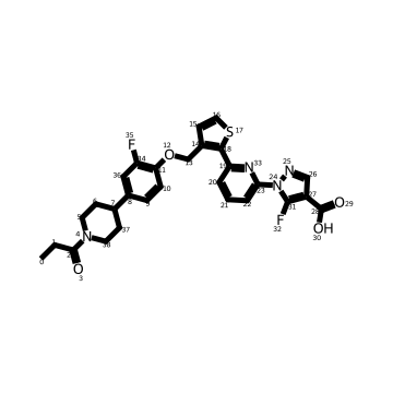 CCC(=O)N1CCC(c2ccc(OCc3ccsc3-c3cccc(-n4ncc(C(=O)O)c4F)n3)c(F)c2)CC1